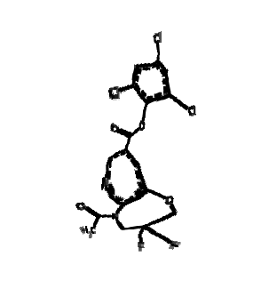 CC(=O)N1CC(F)(F)COc2cc(C(=O)Oc3c(Cl)cc(Cl)cc3Cl)cnc21